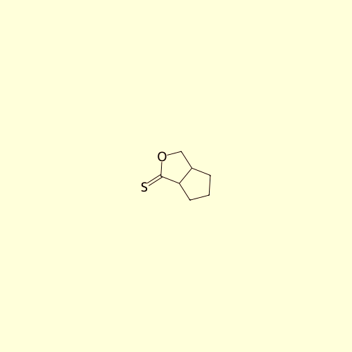 S=C1OCC2CCCC12